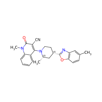 Cc1ccc2oc([C@H]3CCN(c4c(C#N)c(=O)n(C)c5ccccc45)[C@@H](C)C3)nc2c1